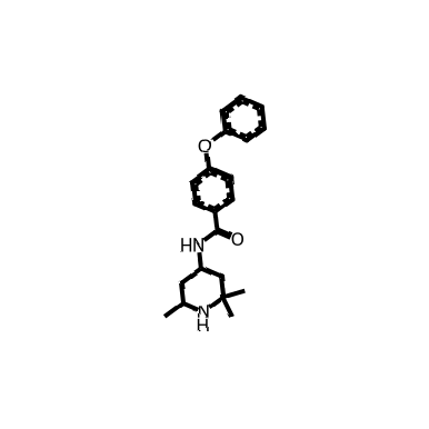 CC1CC(NC(=O)c2ccc(Oc3ccccc3)cc2)CC(C)(C)N1